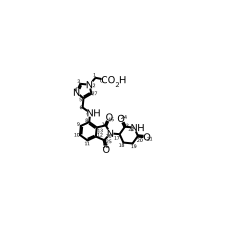 O=C(O)Cn1cnc(CNc2cccc3c2C(=O)N(C2CCC(=O)NC2=O)C3=O)c1